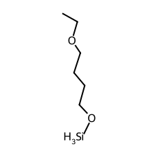 CCOCCCCO[SiH3]